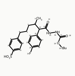 CC(CCCc1ccc(S(=O)(=O)O)cc1)C(C(=O)NNC(=O)OC(C)(C)C)c1ccc(F)cc1